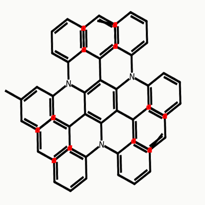 Cc1cccc(N(c2ccccc2)c2c(-c3ccccc3)c(N(c3ccccc3)c3cccc(C)c3)c(-c3ccccc3)c(N(c3ccccc3)c3cccc(C)c3)c2-c2ccccc2)c1